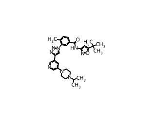 Cc1ccc(C(=O)Nc2cc(C(C)(C)C)on2)cc1-n1cc(-c2cncc(N3CCN(C(C)C)CC3)c2)nn1